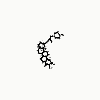 CC1=C(O)C(=O)C=C2C1=CC=C1[C@@]2(C)CC[C@@]2(C)[C@@H]3C[C@](C)(COC(=O)CN4CCN(C)CC4)CC[C@]3(C)CC[C@]12C